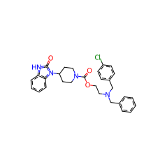 O=C(OCCN(Cc1ccccc1)Cc1ccc(Cl)cc1)N1CCC(n2c(=O)[nH]c3ccccc32)CC1